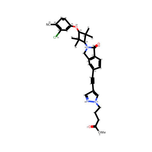 COC(=O)CCCn1cc(C#Cc2ccc3c(c2)CN(C2C(C)(C)C(Oc4ccc(C#N)c(Cl)c4)C2(C)C)C3=O)cn1